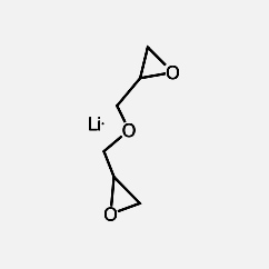 C(OCC1CO1)C1CO1.[Li]